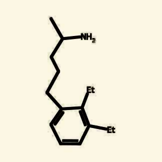 CCc1cccc(CCCC(C)N)c1CC